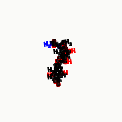 CCC[C@]1(O)C2CCC3C[C@@H](O[C@H]4C[C@H](O)[C@H](O[C@H]5C[C@H](O)[C@H](OC6CCN(CCS(N)(=O)=O)CC(C)O6)[C@H](C)O5)[C@H](C)O4)CC[C@]3(C)C2C[C@H](O)[C@]1(C)CC1=CC(=O)OC1